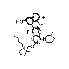 CCCCN1CCCC1(C)COc1nc(N2CCCC(C)C2)c2cnc(-c3cc(O)cc4ccc(F)c(CC)c34)c(F)c2n1